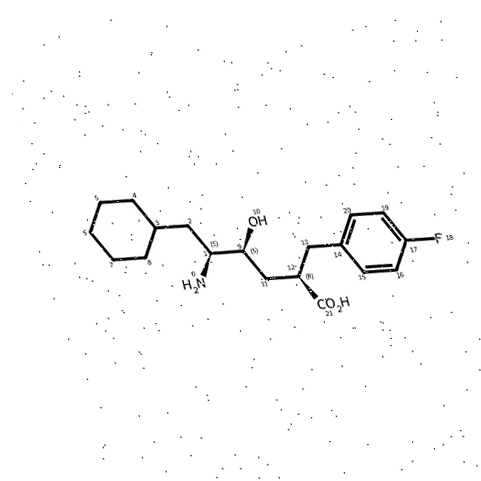 N[C@@H](CC1CCCCC1)[C@@H](O)C[C@@H](Cc1ccc(F)cc1)C(=O)O